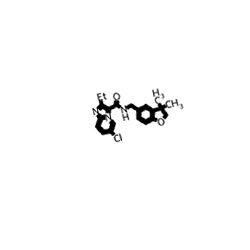 CCc1nc2ccc(Cl)cn2c1C(=O)NCc1ccc2c(c1)C(C)(C)CO2